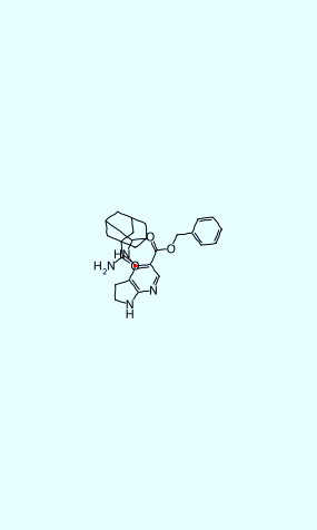 NC(=O)C12CC3CC(C1)C(Nc1c(C(=O)OCc4ccccc4)cnc4c1CCN4)C(C3)C2